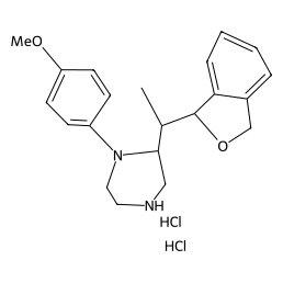 COc1ccc(N2CCNCC2C(C)C2OCc3ccccc32)cc1.Cl.Cl